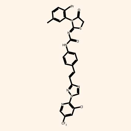 Cc1ccc(C(C)C)c(N2C(=O)CS/C2=N\C(=O)Nc2ccc(/C=C/c3ncn(-c4ncc(C(F)(F)F)cc4Cl)n3)cc2)c1